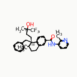 Cc1ncccc1NC(=O)c1ccc2c(c1)CCC(C)[C@]2(CC[C@](C)(O)C(F)(F)F)Cc1ccccc1